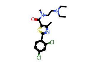 CCN(CC)CCN(C)C(=O)c1sc(-c2ccc(Cl)cc2Cl)nc1C